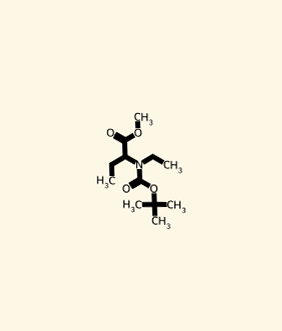 CCC(C(=O)OC)N(CC)C(=O)OC(C)(C)C